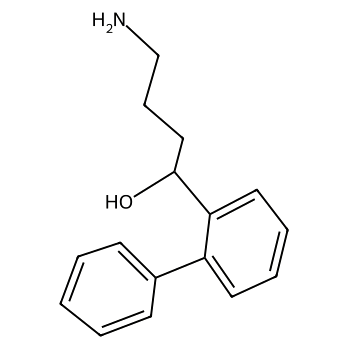 NCCCC(O)c1ccccc1-c1ccccc1